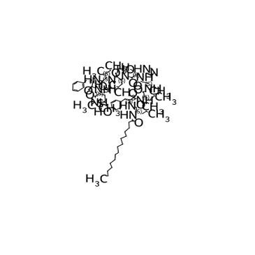 CCCCCCCCCCCCCCCC(=O)N[C@@H](CC(C)C)C(=O)N[C@@H](Cc1ccc(O)cc1)C(=O)N[C@@H](CC(C)C)C(=O)N[C@@H](Cc1c[nH]cn1)C(=O)N[C@@H](CO)C(=O)N[C@@H](CC(C)C)C(=O)N[C@H](C(=O)N[C@@H](Cc1ccccc1)C(=O)N[C@@H](CCSC)C(=O)NC)[C@@H](C)CC